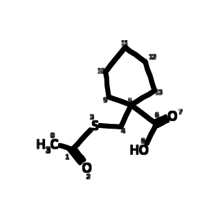 CC(=O)SCC1(C(=O)O)CCCCC1